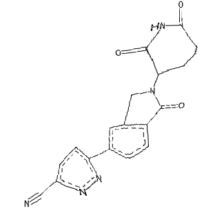 N#Cc1ccc(-c2ccc3c(c2)CN(C2CCC(=O)NC2=O)C3=O)nn1